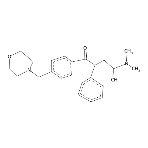 CC(CC(C(=O)c1ccc(CN2CCOCC2)cc1)c1ccccc1)N(C)C